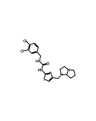 O=C(NCc1ccc(Cl)c(Cl)c1)Nc1nc(CN2CCN3CCCC32)cs1